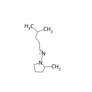 CC(C)CC/C=N/N1CCCC1C